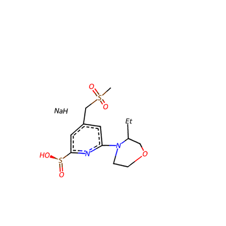 CCC1COCCN1c1cc(CS(C)(=O)=O)cc([S@@](=O)O)n1.[NaH]